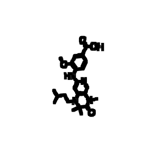 COc1cc(C(=O)O)ccc1Nc1cc2c(cn1)N(C)C(=O)C(C)(C)N2CCC(C)C